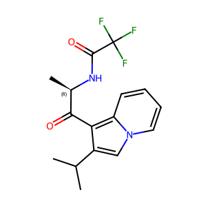 CC(C)c1cn2ccccc2c1C(=O)[C@@H](C)NC(=O)C(F)(F)F